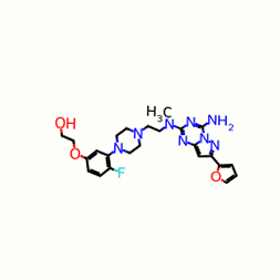 CN(CCN1CCN(c2cc(OCCO)ccc2F)CC1)c1nc(N)n2nc(-c3ccco3)cc2n1